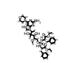 CCOC(=O)[C@H](Cc1ccccc1)NP(=O)(N[C@@H](Cc1ccccc1)C(=O)OCC)OCC(OC)C(O)C(C)(O)C(C)N1CNc2c(N3CCOCC3)nc(N)nc21